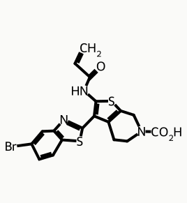 C=CC(=O)Nc1sc2c(c1-c1nc3cc(Br)ccc3s1)CCN(C(=O)O)C2